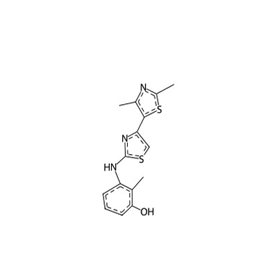 Cc1nc(C)c(-c2csc(Nc3cccc(O)c3C)n2)s1